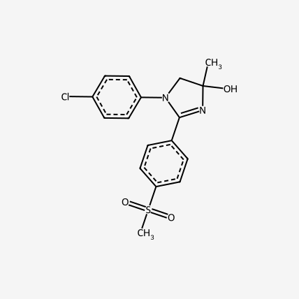 CC1(O)CN(c2ccc(Cl)cc2)C(c2ccc(S(C)(=O)=O)cc2)=N1